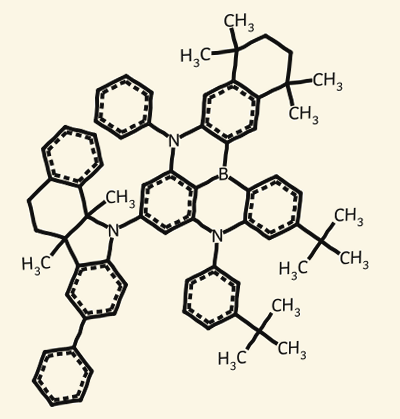 CC(C)(C)c1cccc(N2c3cc(C(C)(C)C)ccc3B3c4cc5c(cc4N(c4ccccc4)c4cc(N6c7ccc(-c8ccccc8)cc7C7(C)CCc8ccccc8C67C)cc2c43)C(C)(C)CCC5(C)C)c1